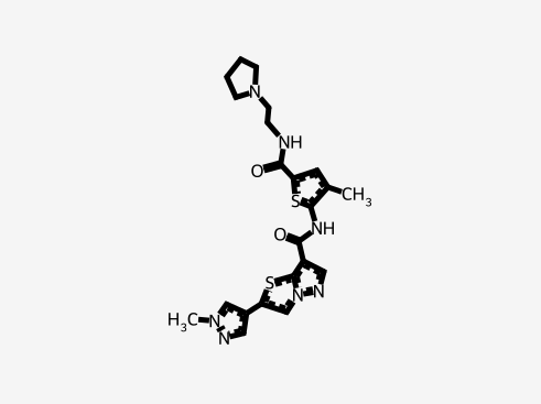 Cc1cc(C(=O)NCCN2CCCC2)sc1NC(=O)c1cnn2cc(-c3cnn(C)c3)sc12